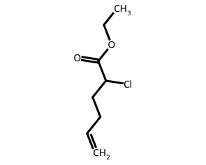 C=CCCC(Cl)C(=O)OCC